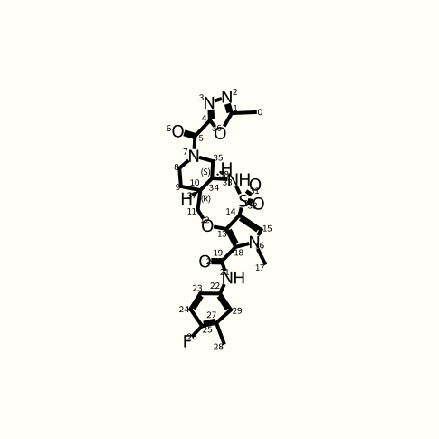 Cc1nnc(C(=O)N2CC[C@H]3COc4c(cn(C)c4C(=O)Nc4ccc(F)c(C)c4)S(=O)(=O)N[C@@H]3C2)o1